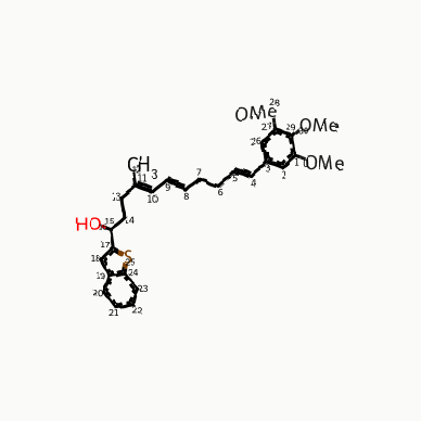 COc1cc(C=CCCC=CC=C(C)CCC(O)c2cc3ccccc3s2)cc(OC)c1OC